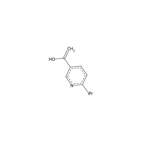 C=C(O)c1ccc(C(C)C)nc1